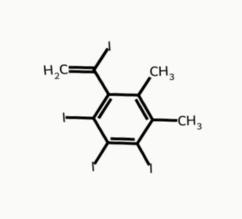 C=C(I)c1c(C)c(C)c(I)c(I)c1I